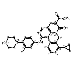 CC(=O)c1cc2cnc(Nc3ccc(N4CCNCC4)c(F)c3)nc2n(Cc2cncnc2C2CC2)c1=O